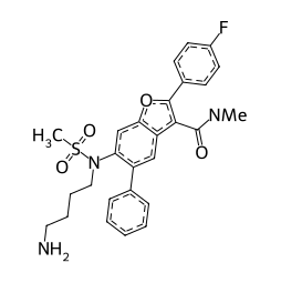 CNC(=O)c1c(-c2ccc(F)cc2)oc2cc(N(CCCCN)S(C)(=O)=O)c(-c3ccccc3)cc12